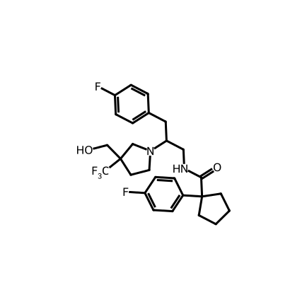 O=C(NCC(Cc1ccc(F)cc1)N1CCC(CO)(C(F)(F)F)C1)C1(c2ccc(F)cc2)CCCC1